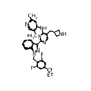 CCOc1cc(F)c(Cn2nc(-c3ncc(CC4CNC4)c(Nc4cc(C)ncc4C)n3)c3ccccc32)c(F)c1